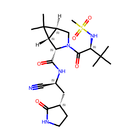 CC(C)(C)[C@H](NS(C)(=O)=O)C(=O)N1C[C@H]2[C@H]([C@H]1C(=O)N[C@H](C#N)C[C@@H]1CCNC1=O)C2(C)C